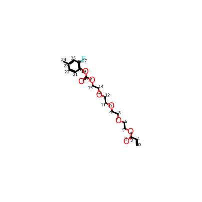 C=CC(=O)OCCOCCOCCOCCOC(=O)Oc1ccc(C)cc1F